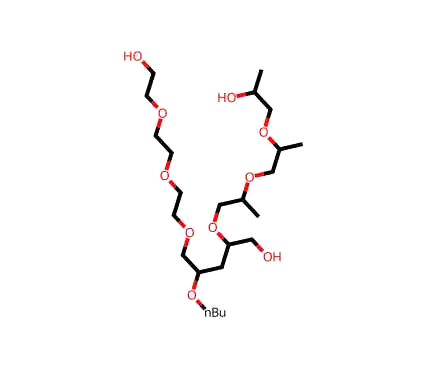 CCCCOC(COCCOCCOCCO)CC(CO)OCC(C)OCC(C)OCC(C)O